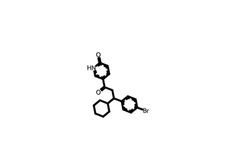 O=C(CC(c1ccc(Br)cc1)C1CCCCC1)c1ccc(=O)[nH]c1